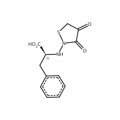 O=C1CSN(N[C@@H](Cc2ccccc2)C(=O)O)C1=O